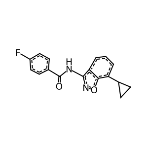 O=C(Nc1noc2c(C3CC3)cccc12)c1ccc(F)cc1